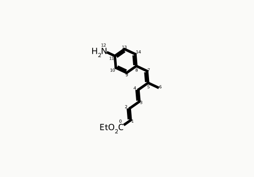 CCOC(=O)C=CC=CC(C)=Cc1ccc(N)cc1